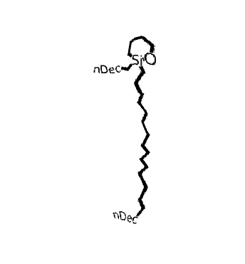 CCCCCCCCCCCCCCCCCCCCCCCCC[Si]1(CCCCCCCCCCC)CCCCO1